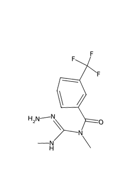 CNC(=NN)N(C)C(=O)c1cccc(C(F)(F)F)c1